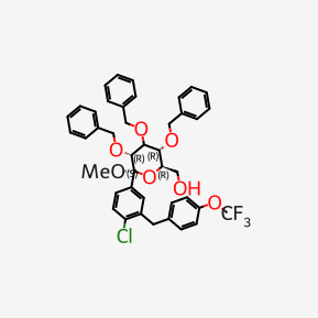 CO[C@@]1(c2ccc(Cl)c(Cc3ccc(OC(F)(F)F)cc3)c2)O[C@H](CO)[C@@H](OCc2ccccc2)C(OCc2ccccc2)[C@H]1OCc1ccccc1